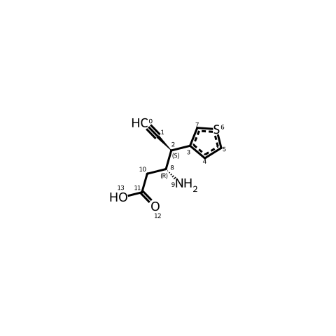 C#C[C@@H](c1ccsc1)[C@H](N)CC(=O)O